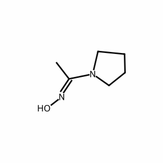 CC(=NO)N1CCCC1